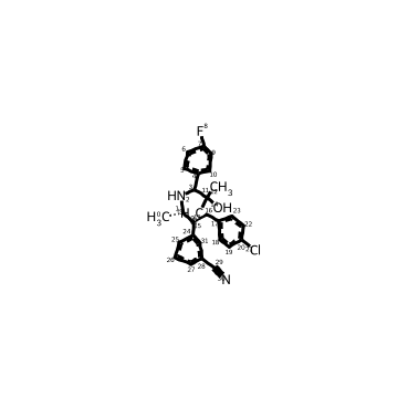 C[C@H](NC(c1ccc(F)cc1)C(C)(C)O)[C@@H](Cc1ccc(Cl)cc1)c1cccc(C#N)c1